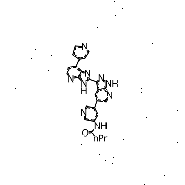 CCCC(=O)Nc1cncc(-c2cnc3[nH]nc(-c4nc5c(-c6ccncc6)ccnc5[nH]4)c3c2)c1